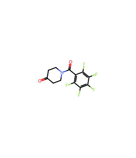 O=C1CCN(C(=O)c2c(F)c(F)c(F)c(F)c2F)CC1